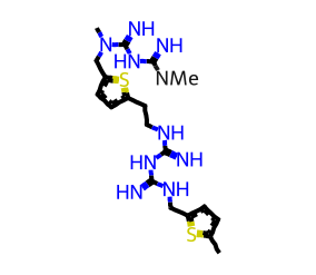 CNC(=N)NC(=N)N(C)Cc1ccc(CCNC(=N)NC(=N)NCc2ccc(C)s2)s1